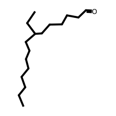 CCCCCCCCC(CC)CCCCCC=O